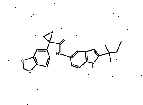 CCC(C)(C)c1cc2cc(NC(=O)C3(c4ccc5c(c4)OCO5)CC3)ccc2[nH]1